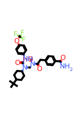 CC(C)(C)C1CCC(N(CN(O)C(=O)Cc2ccc(C(N)=O)cc2)C(=O)Nc2ccc(OC(F)(F)F)cc2)CC1